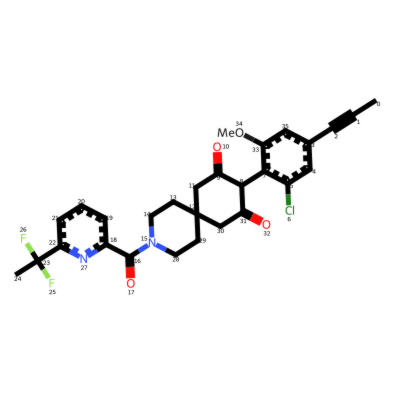 CC#Cc1cc(Cl)c(C2C(=O)CC3(CCN(C(=O)c4cccc(C(C)(F)F)n4)CC3)CC2=O)c(OC)c1